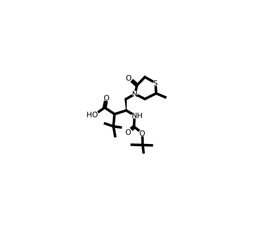 CC1CN(C[C@@H](NC(=O)OC(C)(C)C)C(C(=O)O)C(C)(C)C)C(=O)CS1